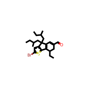 CCC(C)CC1(CC(C)CC)C2=C(c3sc(Br)cc31)C(CC)CC(C=O)=C2